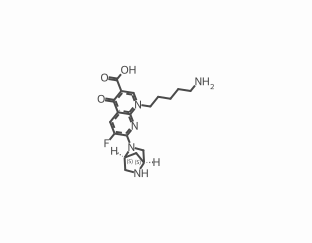 NCCCCCn1cc(C(=O)O)c(=O)c2cc(F)c(N3C[C@@H]4C[C@H]3CN4)nc21